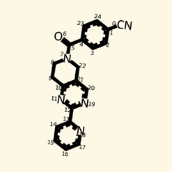 N#Cc1ccc(C(=O)N2CCc3nc(-c4ccccn4)ncc3C2)cc1